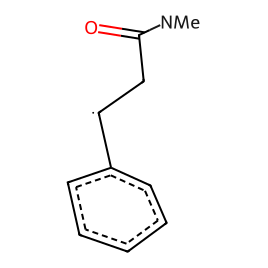 CNC(=O)C[CH]c1ccccc1